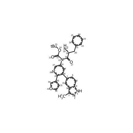 Cc1n[nH]c2ccc(-c3cc(N(C(=O)OC(C)(C)C)C(=O)[C@@H](N)Cc4ccccc4)cnc3-c3ccoc3)cc12